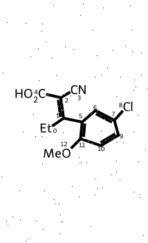 CC/C(=C(/C#N)C(=O)O)c1cc(Cl)ccc1OC